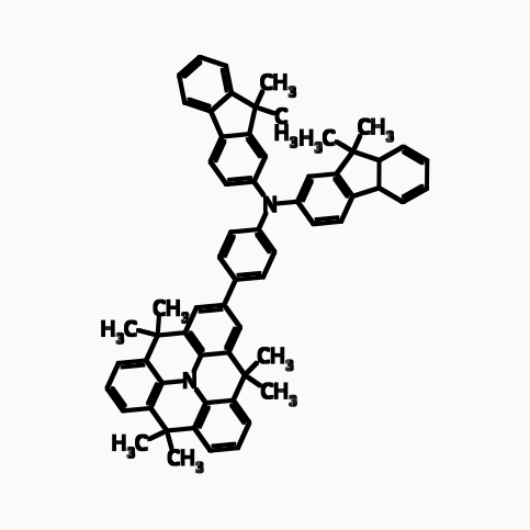 CC1(C)c2ccccc2-c2ccc(N(c3ccc(-c4cc5c6c(c4)C(C)(C)c4cccc7c4N6c4c(cccc4C5(C)C)C7(C)C)cc3)c3ccc4c(c3)C(C)(C)C3C=CC=CC43)cc21